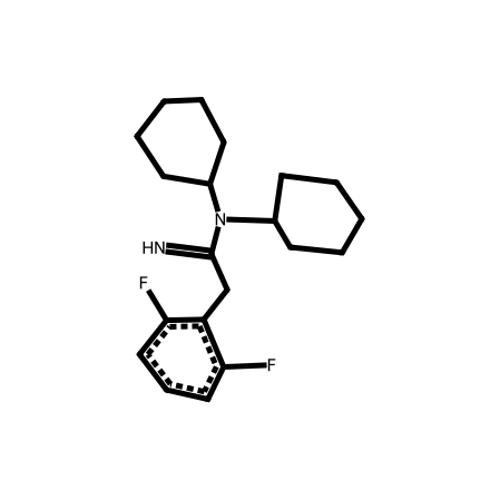 N=C(Cc1c(F)cccc1F)N(C1CCCCC1)C1CCCCC1